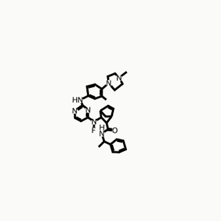 Cc1cc(Nc2nccc(N(F)C3C4C=CC(C4)C3C(=O)NC(C)c3ccccc3)n2)ccc1N1CCN(C)CC1